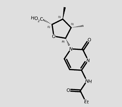 CCC(=O)Nc1ccn([C@@H]2O[C@H](C(=O)O)[C@@H](C)[C@@H]2C)c(=O)n1